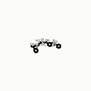 CC(C)(CCn1cc(CC(=O)O)c2ccccc21)NCC(O)c1cccc(NS(=O)(=O)c2ccccc2)c1